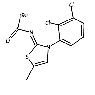 Cc1cn(-c2cccc(Cl)c2Cl)c(=NC(=O)C(C)(C)C)s1